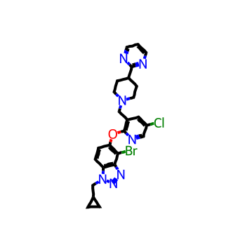 Clc1cnc(Oc2ccc3c(nnn3CC3CC3)c2Br)c(CN2CCC(c3ncccn3)CC2)c1